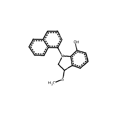 CSC1CN(c2cccc3ccccc23)c2c(O)cccc21